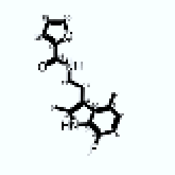 Cc1[nH]c2c(F)ccc(C)c2c1CCNC(=O)c1ccco1